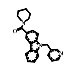 O=C(c1ccc2c(c1)c1ccccc1n2Cc1cccnc1)N1CCCCC1